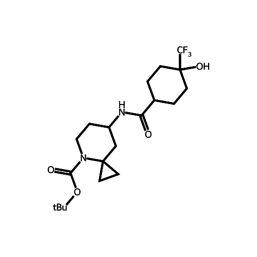 CC(C)(C)OC(=O)N1CCC(NC(=O)C2CCC(O)(C(F)(F)F)CC2)CC12CC2